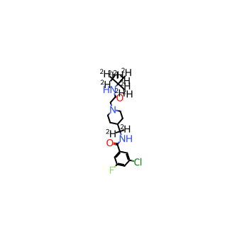 [2H]C([2H])(NC(=O)c1cc(F)cc(Cl)c1)C1CCN(CC(=O)NC(C([2H])([2H])[2H])(C([2H])([2H])[2H])C([2H])([2H])[2H])CC1